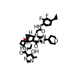 Cc1ncnc(C(=O)N2CC[C@]3(c4c(n(CC(=O)Nc5ccc(C6CC6)c(F)c5F)c5nc(C6=CCOCC6)nn5c4=O)[C@H]4C[C@H]43)[C@@H]3CC[C@@H]32)c1O